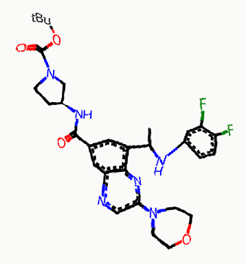 CC(Nc1ccc(F)c(F)c1)c1cc(C(=O)N[C@H]2CCN(C(=O)OC(C)(C)C)C2)cc2ncc(N3CCOCC3)nc12